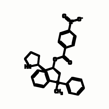 CS(C[C@@H](C[C@@H]1CCCN1)OC(=O)c1ccc([N+](=O)[O-])cc1)(c1ccccc1)c1ccccc1